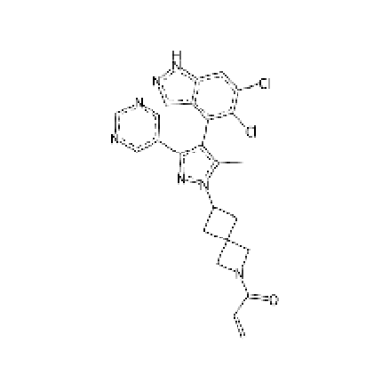 C=CC(=O)N1CC2(CC(n3nc(-c4cncnc4)c(-c4c(Cl)c(Cl)cc5[nH]ncc45)c3C)C2)C1